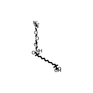 CC(C)(CCCCCCCCCCC(C)(C)C(=O)NCCOCCOCCOCCN=[N+]=[N-])C(=O)O